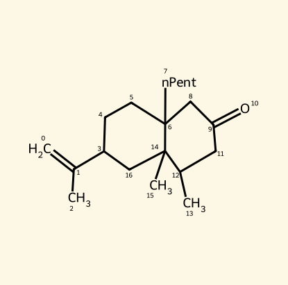 C=C(C)C1CCC2(CCCCC)CC(=O)CC(C)C2(C)C1